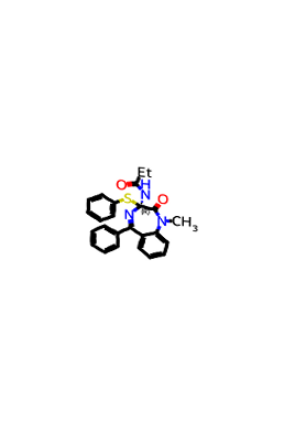 CCC(=O)N[C@@]1(Sc2ccccc2)N=C(c2ccccc2)c2ccccc2N(C)C1=O